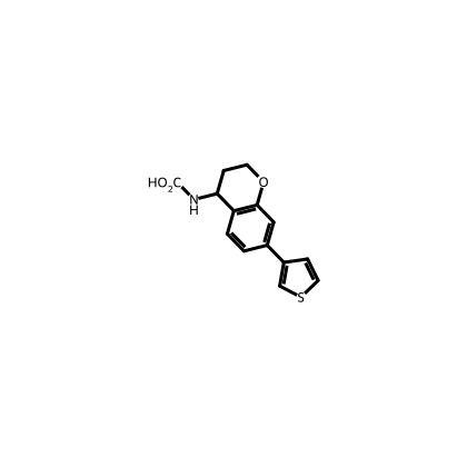 O=C(O)NC1CCOc2cc(-c3ccsc3)ccc21